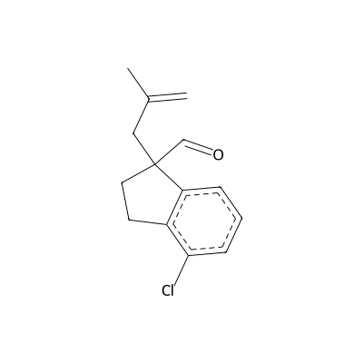 C=C(C)CC1(C=O)CCc2c(Cl)cccc21